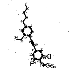 CCCCCc1ccc(C#Cc2cc(F)c(N=C=S)c(Cl)c2)c(CC)c1